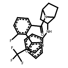 O=C(c1cccc(F)c1-c1ncco1)N1C2CCC1C(Nc1ccc(C(F)(F)F)cn1)C2